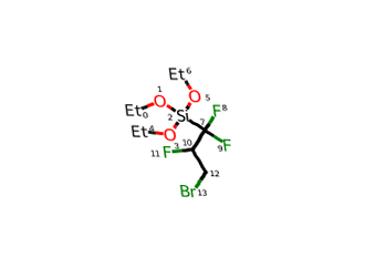 CCO[Si](OCC)(OCC)C(F)(F)C(F)CBr